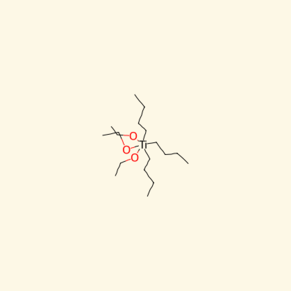 CCC[CH2][Ti]([CH2]CCC)([CH2]CCC)([O]CC)([O]CC)[O]CC